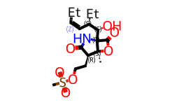 CC/C=C\[C@H](CC)[C@H](O)[C@@]12NC(=O)[C@H](CCOS(C)(=O)=O)[C@]1(C)OC2=O